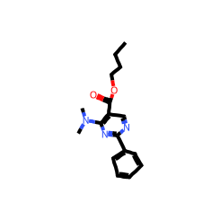 CCCCOC(=O)c1cnc(-c2ccccc2)nc1N(C)C